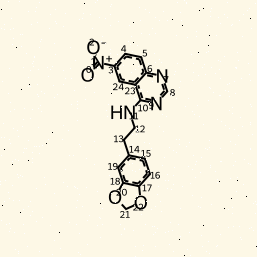 O=[N+]([O-])c1ccc2ncnc(NCCc3ccc4c(c3)OCO4)c2c1